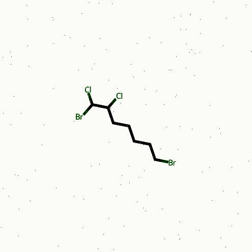 ClC(Br)C(Cl)CCCCCBr